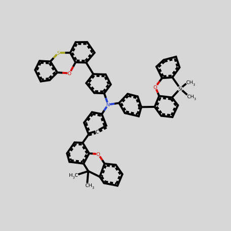 CC1(C)c2ccccc2Oc2c(-c3ccc(N(c4ccc(-c5cccc6c5Oc5ccccc5S6)cc4)c4ccc(-c5cccc6c5Oc5ccccc5[Si]6(C)C)cc4)cc3)cccc21